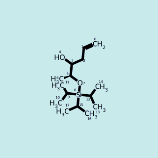 C=CCC(O)[C@H](C)O[Si](C(C)C)(C(C)C)C(C)C